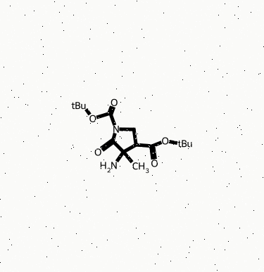 CC(C)(C)OC(=O)C1CN(C(=O)OC(C)(C)C)C(=O)C1(C)N